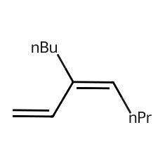 C=C/C(=C\CCC)CCCC